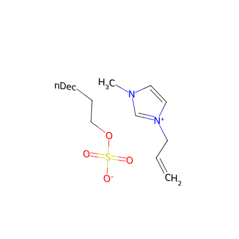 C=CC[n+]1ccn(C)c1.CCCCCCCCCCCCOS(=O)(=O)[O-]